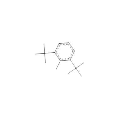 Cc1c(C(C)(C)C)c[c]cc1C(C)(C)C